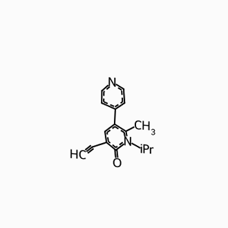 C#Cc1cc(-c2ccncc2)c(C)n(C(C)C)c1=O